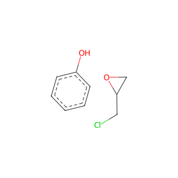 ClCC1CO1.Oc1ccccc1